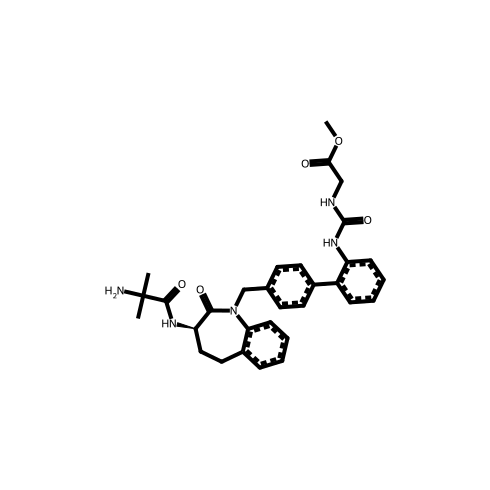 COC(=O)CNC(=O)Nc1ccccc1-c1ccc(CN2C(=O)[C@H](NC(=O)C(C)(C)N)CCc3ccccc32)cc1